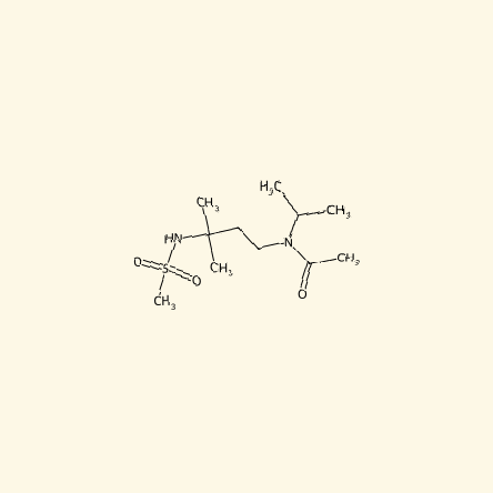 CC(=O)N(CCC(C)(C)NS(C)(=O)=O)C(C)C